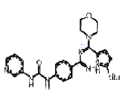 CC(C)(C)c1ccc(/C(=N\C(=N)c2ccc(NC(=O)Nc3cccnc3)cc2)N2CCOCC2)[nH]1